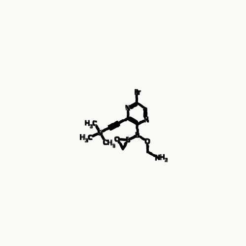 C[Si](C)(C)C#Cc1nc(Br)cnc1B(OCN)B1CO1